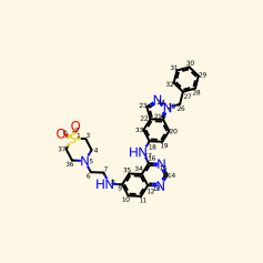 O=S1(=O)CCN(CCNc2ccc3ncnc(Nc4ccc5c(cnn5Cc5ccccc5)c4)c3c2)CC1